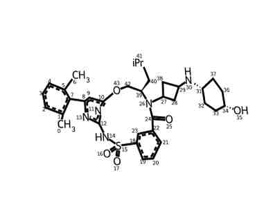 Cc1cccc(C)c1-c1cc2nc(n1)NS(=O)(=O)c1cccc(c1)C(=O)N(C1CC(N[C@H]3CC[C@@H](O)CC3)C1)[C@H](CC(C)C)CO2